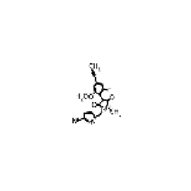 CC#Cc1cc(F)c(C2C(=O)N(C)N(Cc3ccc(C#N)cn3)C2=O)c(OC)c1